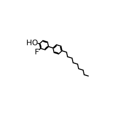 CCCCCCCCCc1ccc(-c2ccc(O)c(F)c2)cc1